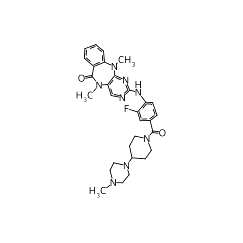 CN1CCN(C2CCN(C(=O)c3ccc(Nc4ncc5c(n4)N(C)c4ccccc4C(=O)N5C)c(F)c3)CC2)CC1